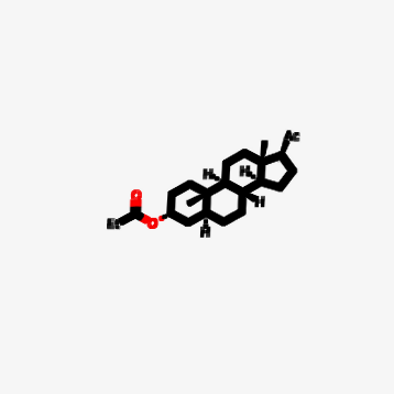 CCC(=O)O[C@@H]1CC[C@@]2(C)[C@@H](CC[C@@H]3[C@@H]2CC[C@]2(C)[C@@H](C(C)=O)CC[C@@H]32)C1